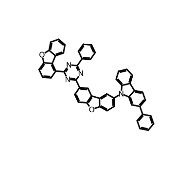 c1ccc(-c2ccc3c4ccccc4n(-c4ccc5oc6ccc(-c7nc(-c8ccccc8)nc(-c8cccc9oc%10ccccc%10c89)n7)cc6c5c4)c3c2)cc1